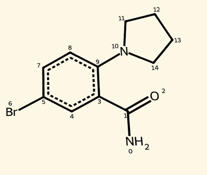 NC(=O)c1cc(Br)ccc1N1CCCC1